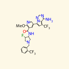 COc1ncc(-c2cc(C(F)(F)F)c3c(N)ncnn23)cc1C(=O)NC1CN(Cc2ccccc2C(F)(F)F)CC1F